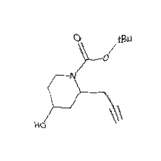 C#CCC1CC(O)CCN1C(=O)OC(C)(C)C